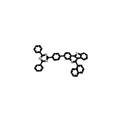 c1ccc(-c2nc(-c3ccccc3)nc(-c3ccc(-c4ccc5c(c4)nc(-c4cccc6ccccc46)c4c6ccccc6oc54)cc3)n2)cc1